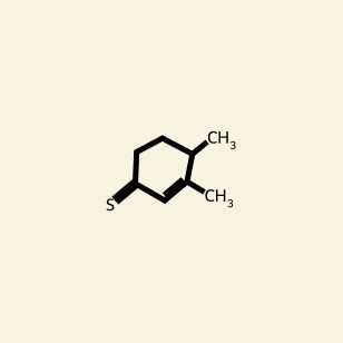 CC1=CC(=S)CCC1C